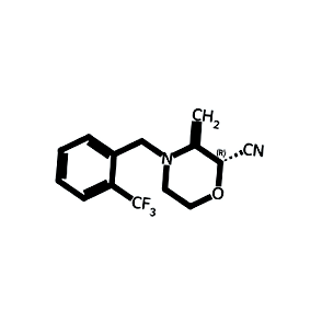 C=C1[C@H](C#N)OCCN1Cc1ccccc1C(F)(F)F